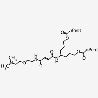 CCCCCC(=O)OCCCC(CCCOC(=O)CCCCC)NC(=O)/C=C/C(=O)NCCOCCN(C)C